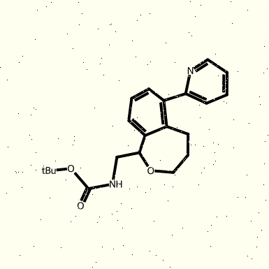 CC(C)(C)OC(=O)NCC1OCCCc2c(-c3ccccn3)cccc21